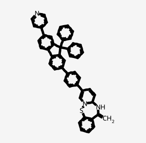 C=C1NC2C=CC(c3ccc(-c4ccc5c(c4)C(c4ccccc4)(c4ccccc4)c4cc(-c6ccncc6)ccc4-5)cc3)=CN2Sc2ccccc21